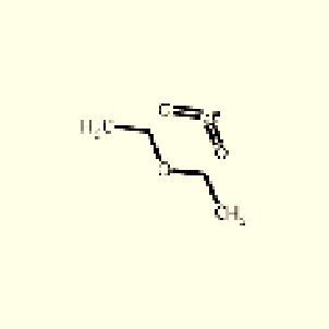 CCOCC.O=[Se]=O